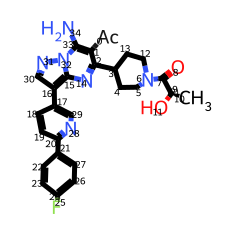 CC(=O)c1c(C2CCN(C(=O)[C@@H](C)O)CC2)nc2c(-c3ccc(-c4ccc(F)cc4)nc3)cnn2c1N